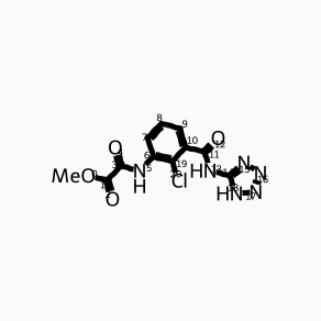 COC(=O)C(=O)Nc1cccc(C(=O)Nc2nnn[nH]2)c1Cl